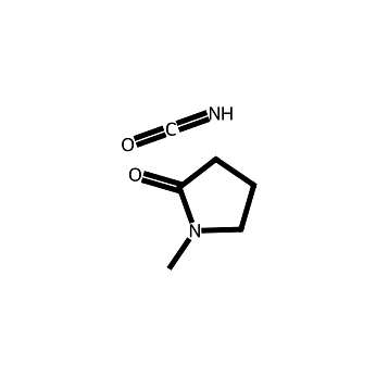 CN1CCCC1=O.N=C=O